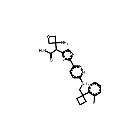 NC(=O)C(c1cnc(-c2ccc(NCC3(c4ncccc4F)CCC3)nn2)s1)C1(N)COC1